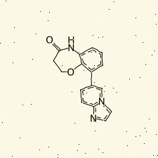 O=C1CCOc2c(cccc2-c2ccc3nccn3c2)N1